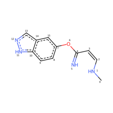 CN/C=C\C(=N)Oc1ccc2[nH]ncc2c1